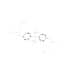 CCOC(C)Oc1ccc(C(c2ccc(OC(C)OCC)cc2)(C(F)(F)F)C(F)(F)F)cc1